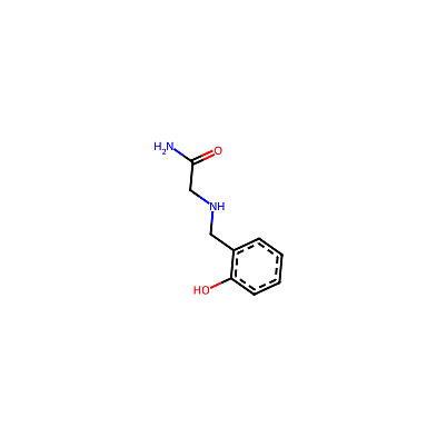 NC(=O)CNCc1ccccc1O